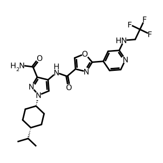 CC(C)[C@H]1CC[C@@H](n2cc(NC(=O)c3coc(-c4ccnc(NCC(F)(F)F)c4)n3)c(C(N)=O)n2)CC1